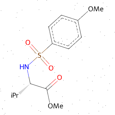 COC(=O)[C@@H](NS(=O)(=O)c1ccc(OC)cc1)C(C)C